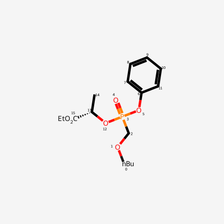 CCCCOCP(=O)(Oc1ccccc1)O[C@@H](C)C(=O)OCC